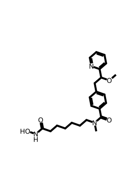 COC(Cc1ccc(C(=O)N(C)CCCCCCC(=O)NO)cc1)c1ccccn1